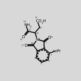 CCCc1cccc2c1C(=O)N(C(CC(=O)O)C(N)=O)C2=O